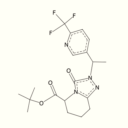 CC(c1ccc(C(F)(F)F)nc1)n1nc2n(c1=O)C(C(=O)OC(C)(C)C)CCC2